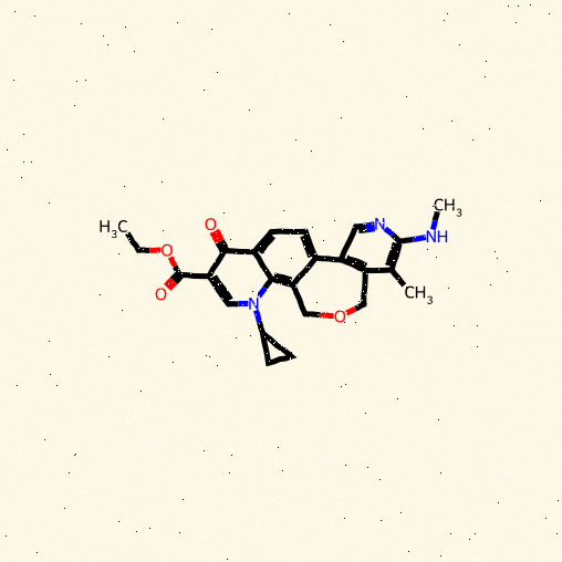 CCOC(=O)c1cn(C2CC2)c2c3c(ccc2c1=O)-c1cnc(NC)c(C)c1COC3